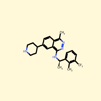 Cc1c([C@@H](C)Nc2nnc(C)c3ccc(C4CCNCC4)cc23)cccc1C(F)(F)F